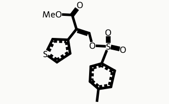 COC(=O)C(=COS(=O)(=O)c1ccc(C)cc1)c1ccsc1